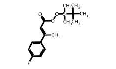 CC(=CC(=O)OO[Si](C)(C)C(C)(C)C)c1ccc(F)cc1